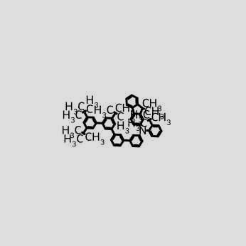 CC(C)(C)c1cc(-c2cccc(-c3cccc(N(c4ccc5c(c4)C(C)(C)c4ccccc4-5)c4ccccc4C(C)(C)C)c3)c2)cc(-c2cc(C(C)(C)C)cc(C(C)(C)C)c2)c1